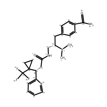 CN(C)[C@H](CNC(=O)C[C@H](c1ccccn1)C1(C(F)(F)F)CC1)Cc1ccc(C(N)=O)cc1